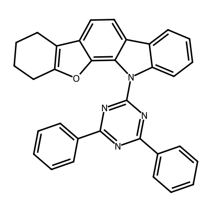 c1ccc(-c2nc(-c3ccccc3)nc(-n3c4ccccc4c4ccc5c6c(oc5c43)CCCC6)n2)cc1